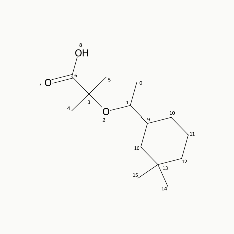 CC(OC(C)(C)C(=O)O)C1CCCC(C)(C)C1